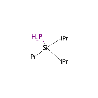 CC(C)[Si](P)(C(C)C)C(C)C